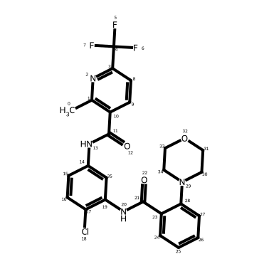 Cc1nc(C(F)(F)F)ccc1C(=O)Nc1ccc(Cl)c(NC(=O)c2ccccc2N2CCOCC2)c1